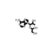 CC(O)[C@@H](OC(O)CO)n1cnc2c(N)ncnc21